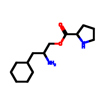 NC(COC(=O)C1CCCN1)CC1CCCCC1